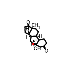 C[C@]12CC[C@H]3[C@@H](CC=C4CC(=O)CC[C@@]43/C=N\O)[C@@H]1CCC2=O